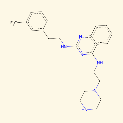 FC(F)(F)c1cccc(CCNc2nc(NCCN3CCNCC3)c3ccccc3n2)c1